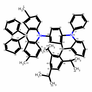 Cc1ccc2c(c1)[Si](c1ccccc1)(c1ccccc1)c1cc(C)ccc1N2c1ccc2c(c1)B(c1c(C(C)C)cc(C(C)C)cc1C(C)C)c1ccccc1N2c1ccccc1